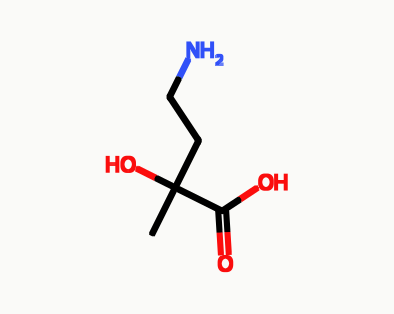 CC(O)(CCN)C(=O)O